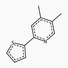 Cc1cnc(-c2cccs2)cc1C